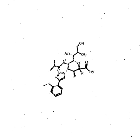 COc1ccccc1-c1cn([C@H]2C(F)C(F)(C(=O)O)O[C@@H]([C@H](O)[C@H](O)CO)[C@@H]2NC(=O)C(C)C)nn1